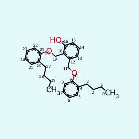 CCCCc1ccccc1OCc1cccc(O)c1COc1ccccc1CCCC